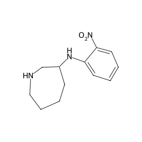 O=[N+]([O-])c1ccccc1NC1CCCCNC1